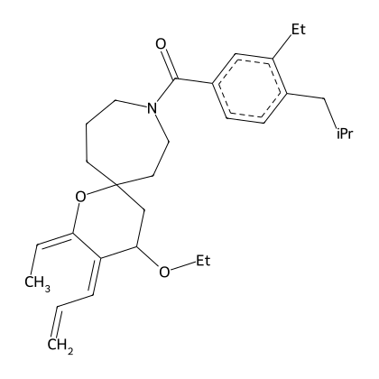 C=C/C=C1\C(=C/C)OC2(CCCN(C(=O)c3ccc(CC(C)C)c(CC)c3)CC2)CC1OCC